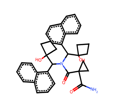 NC(=O)C1(C(=O)N(C(c2cccc3ccccc23)C2(O)CCC2)C(c2cccc3ccccc23)C2(O)CCC2)CC1